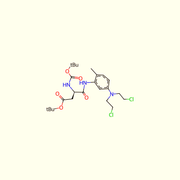 Cc1ccc(N(CCCl)CCCl)cc1NC(=O)[C@@H](CC(=O)OC(C)(C)C)NC(=O)OC(C)(C)C